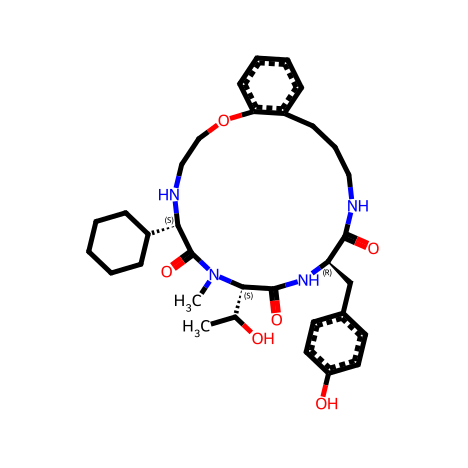 CC(O)[C@H]1C(=O)N[C@H](Cc2ccc(O)cc2)C(=O)NCCCc2ccccc2OCCN[C@@H](C2CCCCC2)C(=O)N1C